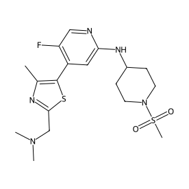 Cc1nc(CN(C)C)sc1-c1cc(NC2CCN(S(C)(=O)=O)CC2)ncc1F